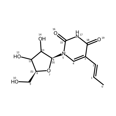 CC=Cc1cn([C@H]2O[C@@H](CO)C(O)C2O)c(=O)[nH]c1=O